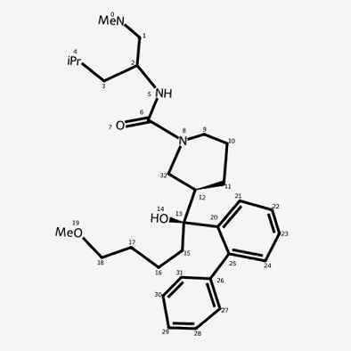 CNCC(CC(C)C)NC(=O)N1CCC[C@@H]([C@@](O)(CCCCOC)c2ccccc2-c2ccccc2)C1